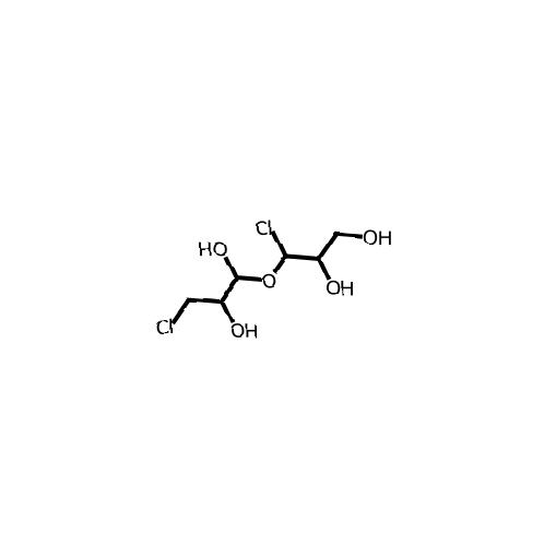 OCC(O)C(Cl)OC(O)C(O)CCl